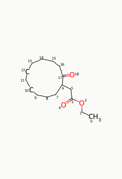 CCOC(=O)CC1CCCCCCCCCCC1=O